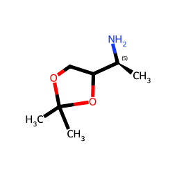 C[C@H](N)C1COC(C)(C)O1